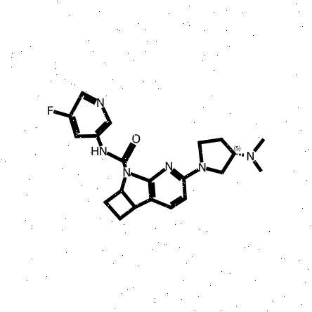 CN(C)[C@H]1CCN(c2ccc3c(n2)N(C(=O)Nc2cncc(F)c2)C2CCC32)C1